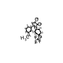 CCc1cccc(C2CC(=O)C(=O)N2c2ccc(OC(F)(F)F)cc2)c1